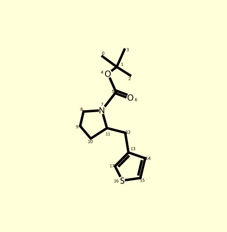 CC(C)(C)OC(=O)N1CCCC1Cc1ccsc1